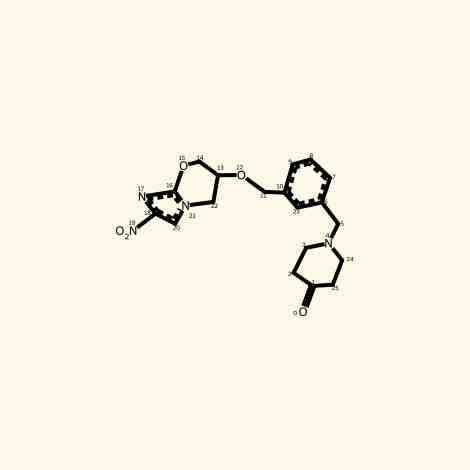 O=C1CCN(Cc2cccc(COC3COc4nc([N+](=O)[O-])cn4C3)c2)CC1